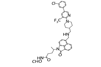 CC(CCC(=O)NC=O)N1C(=O)c2cccc3c(CNCC4CCN(c5ncc(-c6cccc(Cl)c6)cc5C(F)(F)F)CC4)ccc1c23